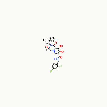 CC(C)(C)[C@H]1CO[C@@H]2Cn3cc(C(=O)NCc4ccc(F)cc4F)c(=O)c(O)c3C(=O)N21